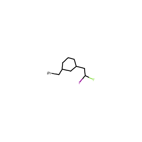 CC(C)CC1CCCC(CC(F)I)C1